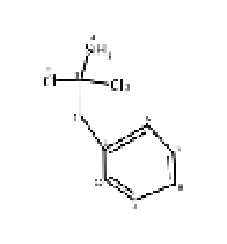 [SiH3]C(Cl)(Cl)Cc1ccccc1